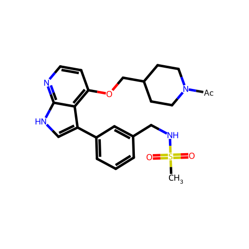 CC(=O)N1CCC(COc2ccnc3[nH]cc(-c4cccc(CNS(C)(=O)=O)c4)c23)CC1